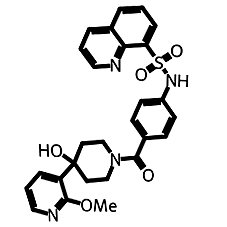 COc1ncccc1C1(O)CCN(C(=O)c2ccc(NS(=O)(=O)c3cccc4cccnc34)cc2)CC1